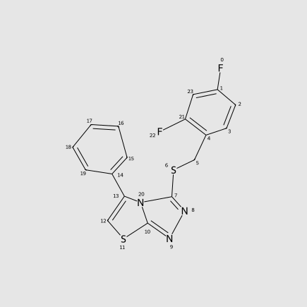 Fc1ccc(CSc2nnc3scc(-c4ccccc4)n23)c(F)c1